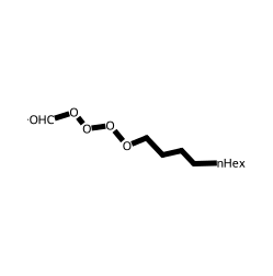 CCCCCCCCCCOOOO[C]=O